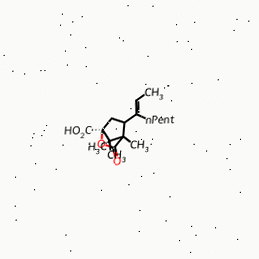 CC=C(CCCCC)C1C[C@]2(C(=O)O)OC(=O)C1(C)C2(C)C